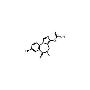 CN1Cc2c(OC(=O)O)ncn2-c2ccc(Cl)cc2C1=O